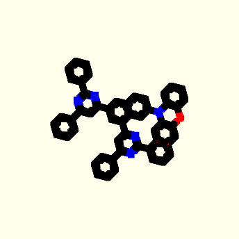 c1ccc(-c2cc(-c3cc(-c4cc(-c5ccccc5)nc(-c5ccccc5)n4)c4cc(N5c6ccccc6Oc6ccccc65)ccc4c3)nc(-c3ccccc3)n2)cc1